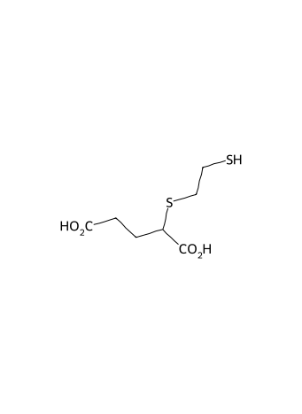 O=C(O)CCC(SCCS)C(=O)O